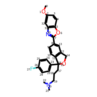 COc1ccc2oc(-c3ccc4c(c3)COC4(CCCN(C)C)c3ccc(F)cc3)nc2c1